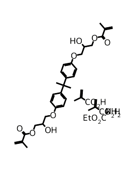 C=C(C)C(=O)O.C=C(C)C(=O)O.C=C(C)C(=O)OCC(O)COc1ccc(C(C)(C)c2ccc(OCC(O)COC(=O)C(=C)C)cc2)cc1.CCOC(N)=O